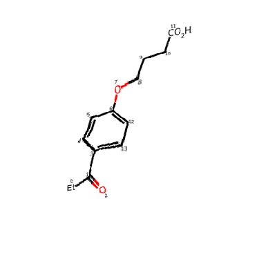 CCC(=O)c1ccc(OCCCC(=O)O)cc1